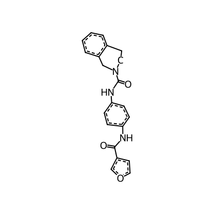 O=C(Nc1ccc(NC(=O)N2CCc3ccccc3C2)cc1)c1ccoc1